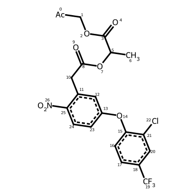 CC(=O)COC(=O)C(C)OC(=O)Cc1cc(Oc2ccc(C(F)(F)F)cc2Cl)ccc1[N+](=O)[O-]